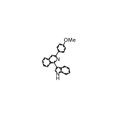 COc1ccc(-c2cc3ccccc3c(-c3c[nH]c4ccccc34)n2)cc1